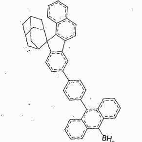 Bc1c2ccccc2c(-c2ccc(-c3ccc4c(c3)-c3ccc5ccccc5c3C43C4CC5CC(C4)CC3C5)cc2)c2ccccc12